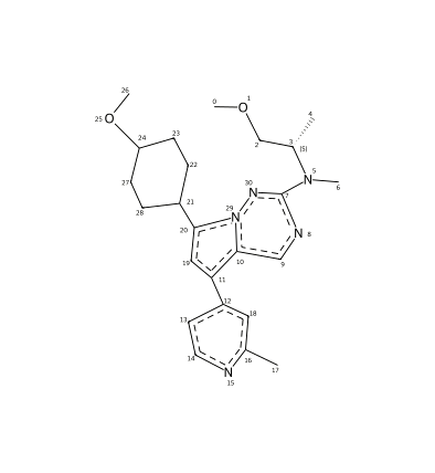 COC[C@H](C)N(C)c1ncc2c(-c3ccnc(C)c3)cc(C3CCC(OC)CC3)n2n1